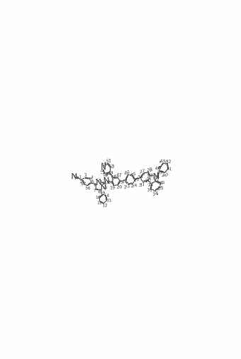 N#Cc1ccc(-c2cc(-c3ccccc3)nc(-n3c4ccc(-c5ccc(-c6ccc7c(c6)c6ccccc6n7-c6ccccc6)cc5)cc4c4ccncc43)n2)cc1